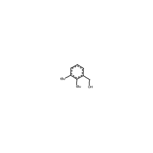 CC(C)(C)c1cccc([C]O)c1C(C)(C)C